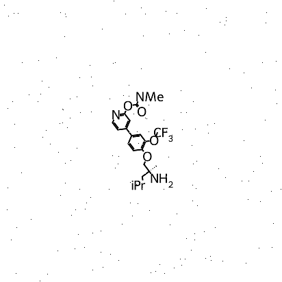 CNC(=O)Oc1cc(-c2ccc(OC[C@@](C)(N)CC(C)C)c(OC(F)(F)F)c2)ccn1